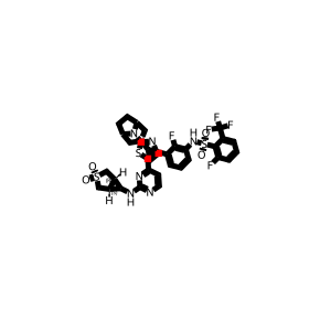 O=S1(=O)C[C@@H]2C(Nc3nccc(-c4sc(N5C6CCC5CN(C5CC5)C6)nc4-c4cccc(NS(=O)(=O)c5c(F)cccc5C(F)(F)F)c4F)n3)[C@@H]2C1